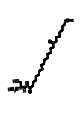 CCCCCCCCCCCCCCCCCC(=O)CCCCCCCCCCCCCCCC(=O)PN[C@@H](CO)C(=O)O